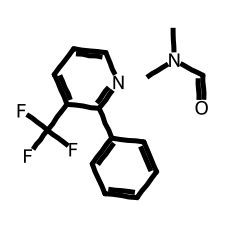 CN(C)C=O.FC(F)(F)c1cccnc1-c1ccccc1